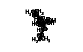 C=C(C)C(=O)OCCNC(=O)OCC(COC(=O)NCCOC(=O)C(=C)C)(COP(=O)(O)O)COP(=O)(O)O